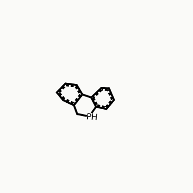 c1ccc2c(c1)CPc1ccccc1-2